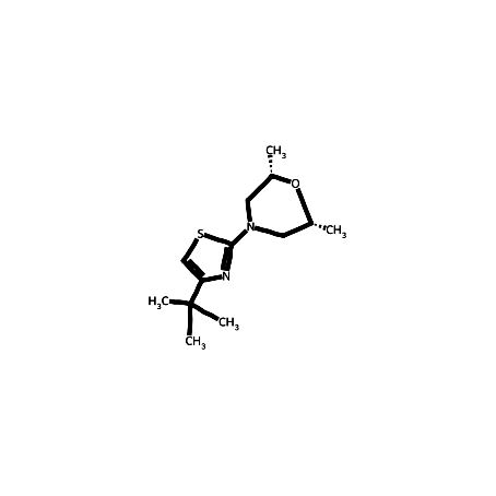 C[C@@H]1CN(c2nc(C(C)(C)C)cs2)C[C@H](C)O1